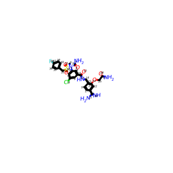 C[N+](C(N)=O)(c1cc(Cl)cc(C(=O)NCc2ccc(C(=N)N)cc2OCC(N)=O)c1)S(=O)(=O)Cc1ccc(F)cc1